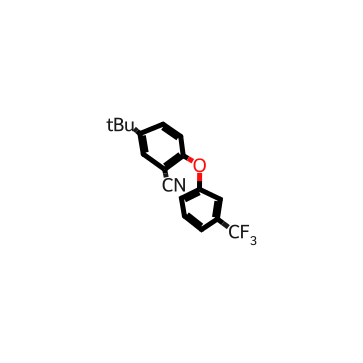 CC(C)(C)c1ccc(Oc2cccc(C(F)(F)F)c2)c(C#N)c1